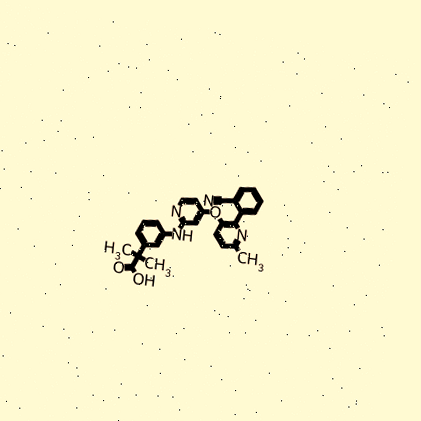 Cc1ccc(Oc2ccnc(Nc3cccc(C(C)(C)C(=O)O)c3)c2)c(-c2ccccc2C#N)n1